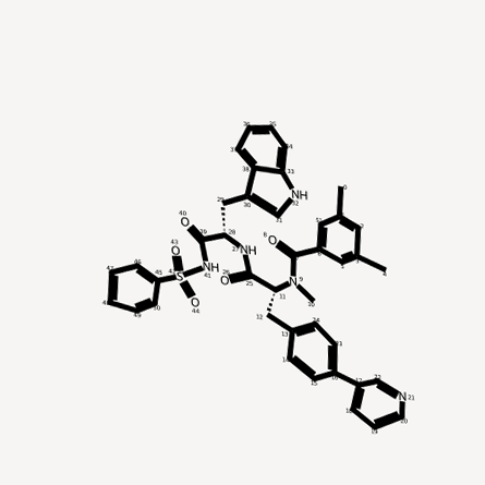 Cc1cc(C)cc(C(=O)N(C)[C@H](Cc2ccc(-c3cccnc3)cc2)C(=O)N[C@@H](Cc2c[nH]c3ccccc23)C(=O)NS(=O)(=O)c2ccccc2)c1